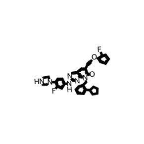 O=c1c(C#COc2ccccc2F)cc2cnc(Nc3ccc(N4CCNCC4)c(F)c3)nc2n1Cc1ccccc1C1CCCC1